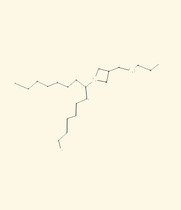 CCCCCCCC(CCCCCCC)N1CC(CNCCF)C1